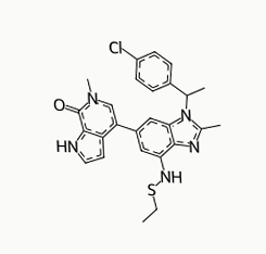 CCSNc1cc(-c2cn(C)c(=O)c3[nH]ccc23)cc2c1nc(C)n2C(C)c1ccc(Cl)cc1